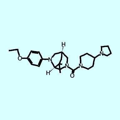 CCOc1ccc(N2C[C@H]3CN(C(=O)N4CCC(N5CCCC5)CC4)C[C@@H]2C(C)(C)C3)cc1